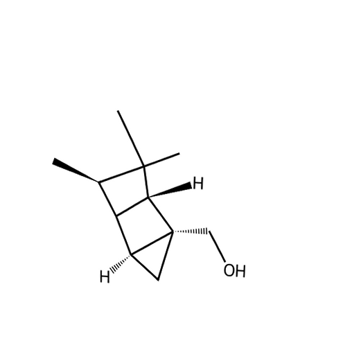 C[C@@H]1C2[C@H](C1(C)C)[C@@]1(CO)C[C@@H]21